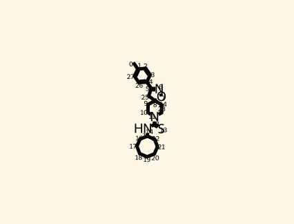 Cc1ccc(C2=NOC3(CCN(C(=S)NC4CCCCCCC4)CC3)C2)cc1